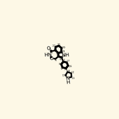 O=C1NOCc2c(-c3ccc([C@@H]4CCNC4)cc3)[nH]c3cccc1c23